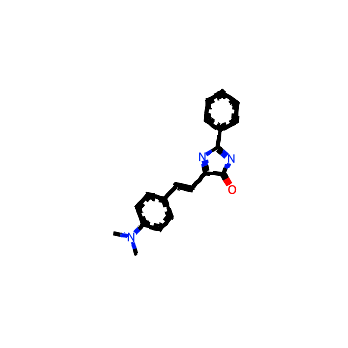 CN(C)c1ccc(C=CC2=NC(c3ccccc3)=NC2=O)cc1